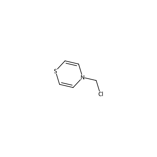 ClCN1C=CSC=C1